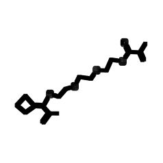 C=C(C)C(=O)OCCOCCOCCOC(C(=C)C)=C1CCC1